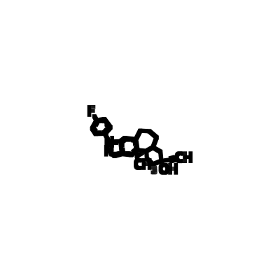 C#C[C@]1(O)CC[C@]2(CC)c3cc4cnn(-c5ccc(F)cc5)c4cc3CCCC2C1